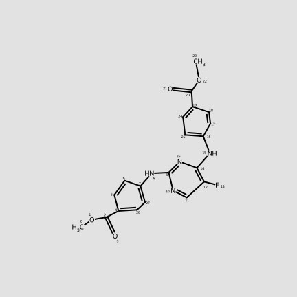 COC(=O)c1ccc(Nc2ncc(F)c(Nc3ccc(C(=O)OC)cc3)n2)cc1